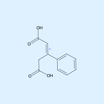 O=C(O)/C=C(\CC(=O)O)c1ccccc1